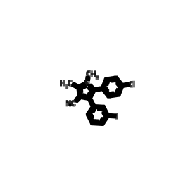 Cc1c(C#N)c(-c2cccc(I)c2)c(-c2ccc(Cl)cc2)n1C